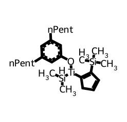 CCCCCc1cc(CCCCC)cc([O][Ti]([C]2=C([Si](C)(C)C)C=CC2)[SiH](C)C)c1